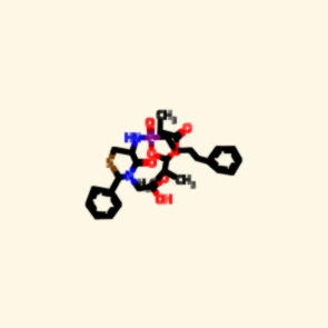 CCC(=O)OC(OP(=O)(CCCCc1ccccc1)NC1CSC(c2ccccc2)N(CC(=O)O)C1=O)C(C)C